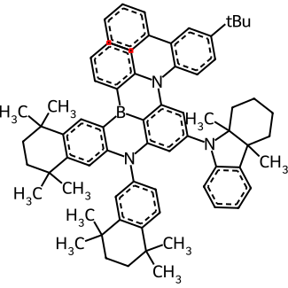 CC(C)(C)c1ccc(N2c3ccccc3B3c4cc5c(cc4N(c4ccc6c(c4)C(C)(C)CCC6(C)C)c4cc(N6c7ccccc7C7(C)CCCCC67C)cc2c43)C(C)(C)CCC5(C)C)c(-c2ccccc2)c1